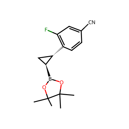 CC1(C)OB([C@H]2C[C@@H]2c2ccc(C#N)cc2F)OC1(C)C